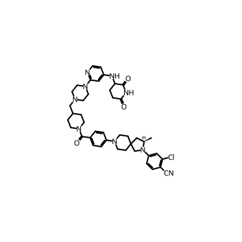 C[C@@H]1CC2(CCN(c3ccc(C(=O)N4CCC(CN5CCN(c6cc(NC7CCC(=O)NC7=O)ccn6)CC5)CC4)cc3)CC2)CN1c1ccc(C#N)c(Cl)c1